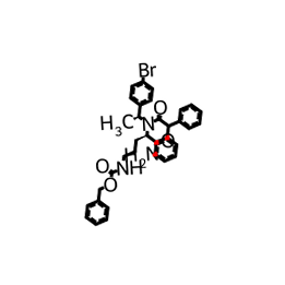 C[C@@H](c1ccc(Br)cc1)N(C(=O)C(c1ccccc1)c1ccccc1)[C@H](CCCNC(=O)OCc1ccccc1)C(N)=O